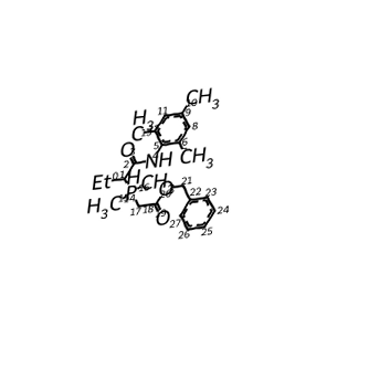 CCC(C(=O)Nc1c(C)cc(C)cc1C)[PH](C)(C)CC(=O)OCc1ccccc1